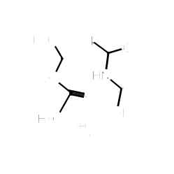 CCOC(C)=O.O.OCNC(Cl)Cl